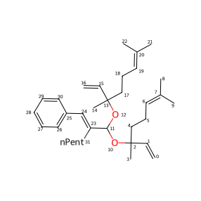 C=CC(C)(CCC=C(C)C)OC(OC(C)(C=C)CCC=C(C)C)/C(=C/c1ccccc1)CCCCC